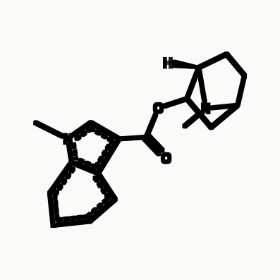 CN1C2CC[C@H]1C(OC(=O)c1cn(C)c3ccccc13)C2